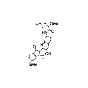 COC(C(=O)O)C(=O)Nc1ccc2cc(O)c(C3C(=O)c4ccc(SC)cc4C3=O)nc2c1